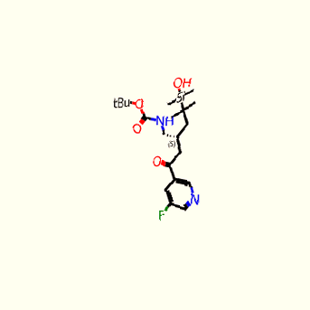 CC(C)(C)OC(=O)NC[C@@H](CC(=O)c1cncc(F)c1)CC(C)(C)[Si](C)(C)O